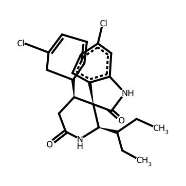 CCC(CC)[C@H]1NC(=O)C[C@@H](C2C=CC=C(Cl)C2)[C@]12C(=O)Nc1cc(Cl)ccc12